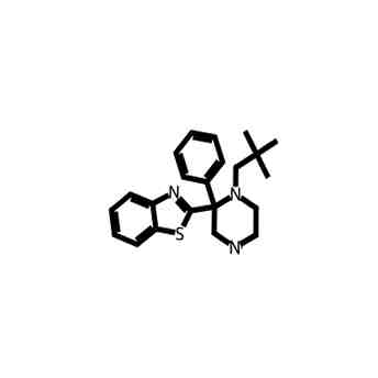 CC(C)(C)CN1CC[N]CC1(c1ccccc1)c1nc2ccccc2s1